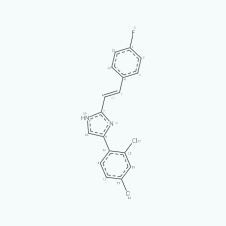 Fc1ccc(/C=C/c2nc(-c3ccc(Cl)cc3Cl)c[nH]2)cc1